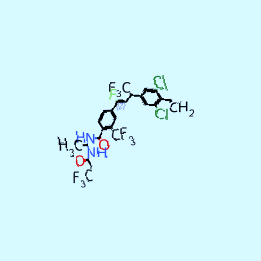 C=Cc1c(Cl)cc(C(/C=C(\F)c2ccc(C(=O)NC(C)NC(=O)CC(F)(F)F)c(C(F)(F)F)c2)C(F)(F)F)cc1Cl